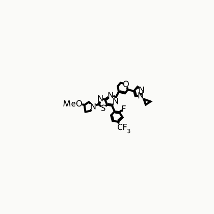 COC1CCN(c2nc3nc(C4=CC(c5cnn(C6CC6)c5)OCC4)nc(-c4ccc(C(F)(F)F)cc4F)c3s2)C1